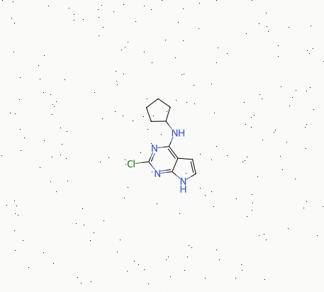 Clc1nc(NC2CCCC2)c2cc[nH]c2n1